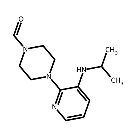 CC(C)Nc1cccnc1N1CCN(C=O)CC1